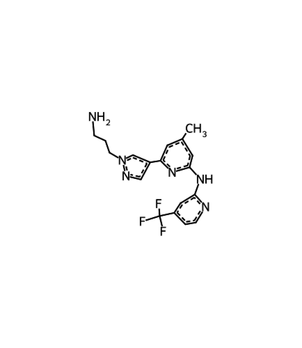 Cc1cc(Nc2cc(C(F)(F)F)ccn2)nc(-c2cnn(CCCN)c2)c1